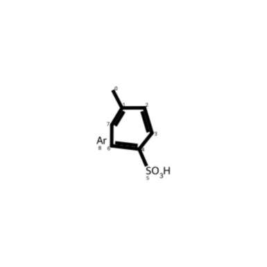 Cc1ccc(S(=O)(=O)O)cc1.[Ar]